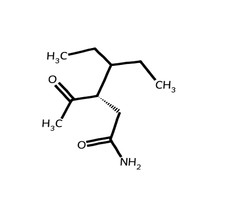 CCC(CC)[C@H](CC(N)=O)C(C)=O